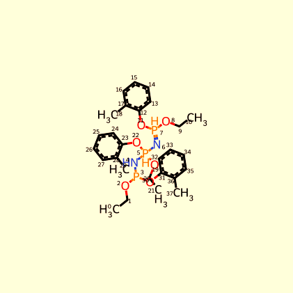 CCOP(N[PH](/N=[PH](/OCC)Oc1ccccc1C)(OCC)Oc1ccccc1C)Oc1ccccc1C